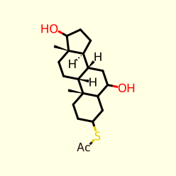 CC(=O)SC1CC[C@@]2(C)C(C1)C(O)C[C@@H]1[C@H]2CC[C@]2(C)C(O)CC[C@@H]12